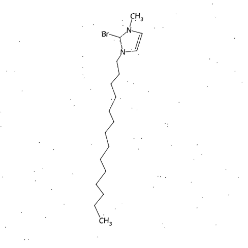 CCCCCCCCCCCCCCN1C=CN(C)C1Br